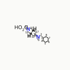 CN(Cc1ccccc1)[C@H]1C[C@@H]2CN(C(=O)O)C[C@@H]2C1